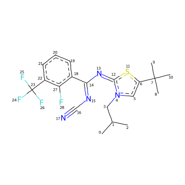 CC(C)Cn1cc(C(C)(C)C)sc1=NC(=NC#N)c1cccc(C(F)(F)F)c1F